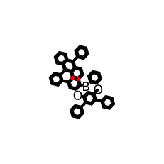 c1ccc(-c2cc(-c3ccccc3)c3c4c2Oc2ccccc2B4c2ccc(-c4ccccc4-c4c5ccccc5c(-c5ccccc5)c5ccccc45)cc2O3)cc1